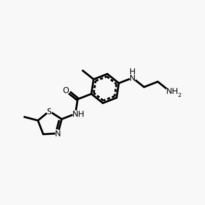 Cc1cc(NCCN)ccc1C(=O)NC1=NCC(C)S1